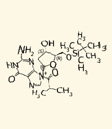 CC(C)C(=O)[N+]1([C@H]2C[C@H](O)[C@@H](CO[Si](C)(C)C(C)(C)C)O2)C=Nc2c1nc(N)[nH]c2=O